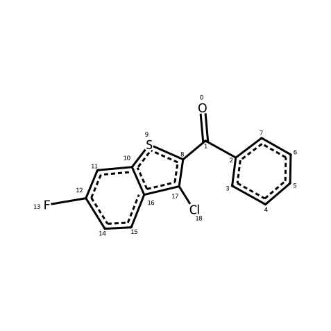 O=C(c1ccccc1)c1sc2cc(F)ccc2c1Cl